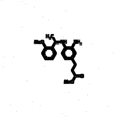 COC(=O)CCc1ccc(N[C@H](C)c2ccccc2OC)c(N)c1